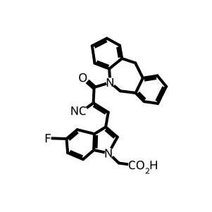 N#CC(=Cc1cn(CC(=O)O)c2ccc(F)cc12)C(=O)N1Cc2ccccc2Cc2ccccc21